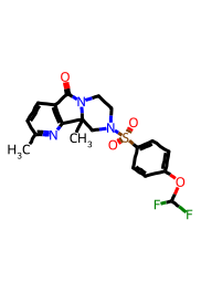 Cc1ccc2c(n1)C1(C)CN(S(=O)(=O)c3ccc(OC(F)F)cc3)CCN1C2=O